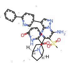 CS(=O)(=O)c1c(C2C[C@H]3CC[C@@H](C2)N3C(=O)c2cccc(=O)[nH]2)nc2c(-c3ccc(-c4ccccc4)nc3)cnn2c1N